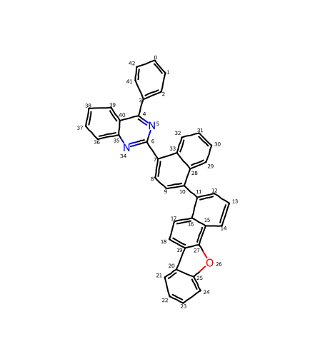 c1ccc(-c2nc(-c3ccc(-c4cccc5c4ccc4c6ccccc6oc54)c4ccccc34)nc3ccccc23)cc1